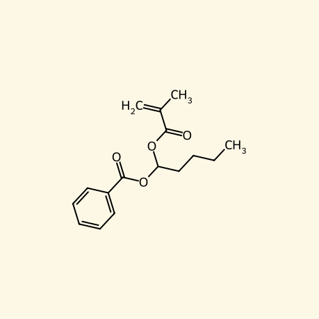 C=C(C)C(=O)OC(CCCC)OC(=O)c1ccccc1